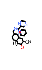 C[C@@H]1C(=O)C(C#N)C[C@]2(c3ccccc3)c3nc(-c4cnccn4)ncc3CC[C@@H]12